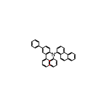 c1ccc(-c2ccc(N(c3ccccc3)c3cccc4c3ccc3ccccc34)c(-c3ccccc3)c2)cc1